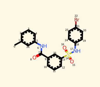 Cc1cccc(NC(=O)c2cccc(S(=O)(=O)Nc3ccc(Br)cc3)c2)c1